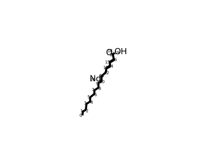 CCCCCCCCCCCCCC=CC=CC(=O)O.[Nd]